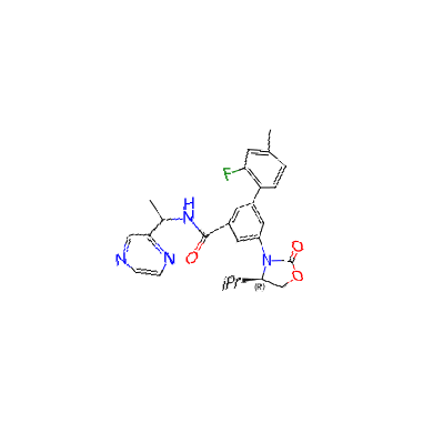 Cc1ccc(-c2cc(C(=O)NC(C)c3cnccn3)cc(N3C(=O)OC[C@H]3C(C)C)c2)c(F)c1